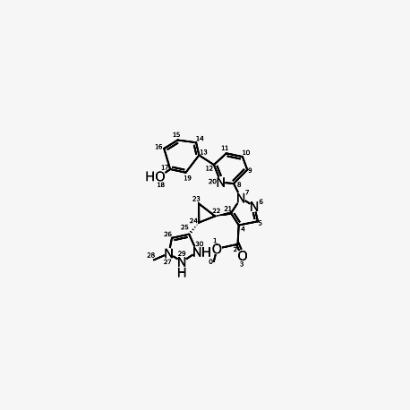 COC(=O)c1cnn(-c2cccc(-c3cccc(O)c3)n2)c1[C@@H]1C[C@H]1C1=CN(C)NN1